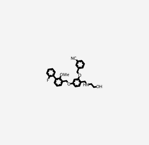 COc1c(COc2ccc(CNCCO)c(OCc3cccc(C#N)c3)c2)cccc1-c1ccccc1F